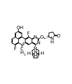 CCc1c(F)ccc2cc(O)cc(-c3c(F)cc4c(N5C[C@H]6CC[C@@H](C5)N6)nc(OC[C@@H]5CCC(=O)N5)nc4c3F)c12